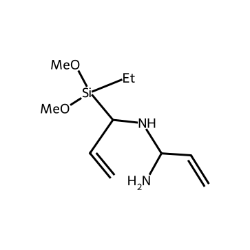 C=CC(N)NC(C=C)[Si](CC)(OC)OC